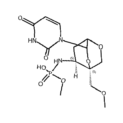 COC[C@]12COC(C[C@@H]1NP(=O)(O)OC)C(n1ccc(=O)[nH]c1=O)O2